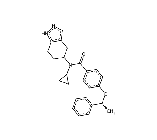 C[C@H](Oc1ccc(C(=O)N(C2CC2)C2CCc3[nH]ncc3C2)cc1)c1ccccc1